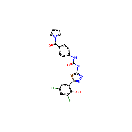 O=C(Nc1ccc(C(=O)n2cccc2)cc1)Nc1nnc(-c2cc(Cl)cc(Cl)c2O)s1